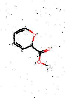 COC(=O)C1C=CC=CO1